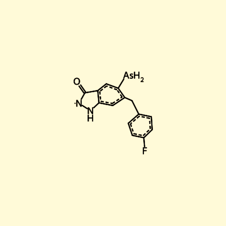 O=C1[N]Nc2cc(Cc3ccc(F)cc3)c([AsH2])cc21